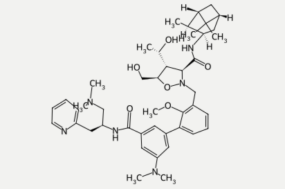 COc1c(CN2O[C@@H](CO)[C@H]([C@H](C)O)[C@H]2C(=O)N[C@@H]2C[C@H]3C[C@@H]([C@@H]2C)C3(C)C)cccc1-c1cc(C(=O)N[C@@H](Cc2ccccn2)CN(C)C)cc(N(C)C)c1